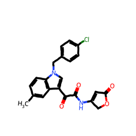 Cc1ccc2c(c1)c(C(=O)C(=O)NC1=CC(=O)OC1)cn2Cc1ccc(Cl)cc1